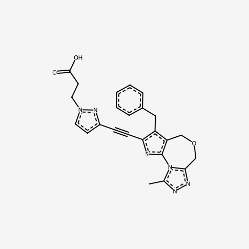 Cc1nnc2n1-c1sc(C#Cc3ccn(CCC(=O)O)n3)c(Cc3ccccc3)c1COC2